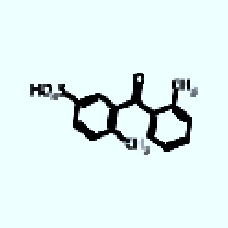 Cc1ccccc1C(=O)c1cc(S(=O)(=O)O)ccc1C